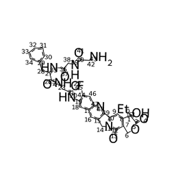 CC[C@@]1(O)C(=O)OCc2c1cc1n(c2=O)Cc2cc3cc(NC(=O)CNC(=O)C(Cc4ccccc4)NC(=O)CNC(=O)CN)c(F)cc3nc2-1